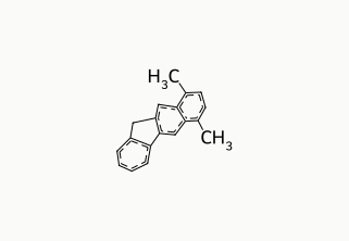 Cc1ccc(C)c2cc3c(cc12)Cc1ccccc1-3